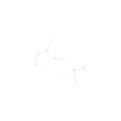 CN1[N]CCC1OC(F)(F)F